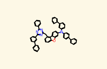 c1ccc(-c2ccc(N(c3cccc(-c4ccccc4)c3)c3ccc4c(c3)oc3cccc(Cc5nc(-c6ccccc6)nc(-c6cccc(-c7ccccc7)c6)n5)c34)cc2)cc1